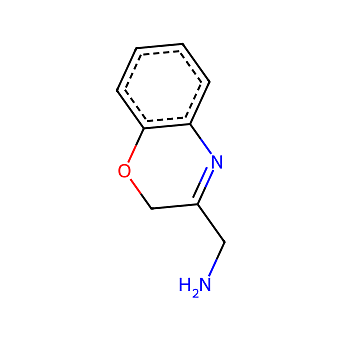 NCC1=Nc2ccccc2OC1